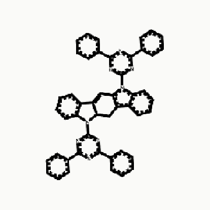 C1=C2c3ccccc3N(c3nc(-c4ccccc4)nc(-c4ccccc4)n3)C2Cc2c1n(-c1nc(-c3ccccc3)nc(-c3ccccc3)n1)c1ccccc21